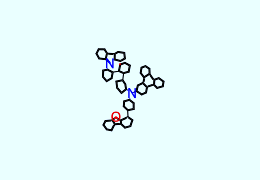 c1cc(-c2ccccc2-c2ccccc2-n2c3ccccc3c3ccccc32)cc(N(c2ccc(-c3cccc4c3oc3ccccc34)cc2)c2ccc3c4ccccc4c4ccccc4c3c2)c1